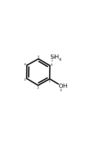 Oc1ccccc1.[SiH4]